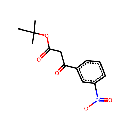 CC(C)(C)OC(=O)CC(=O)c1cccc([N+](=O)[O-])c1